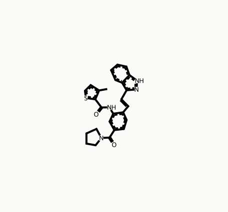 Cc1ccsc1C(=O)Nc1cc(C(=O)N2CCCC2)ccc1/C=C/c1n[nH]c2ccccc12